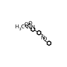 C[C@H]1CN(c2ccc(-c3ccc(/C=N/OCc4ccccc4)cc3)cn2)C(=O)O1